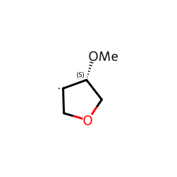 CO[C@H]1[CH]COC1